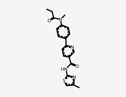 CCC(=O)N(C)c1ccc(-c2ccc(C(=O)Nc3nc(C)cs3)cn2)cc1